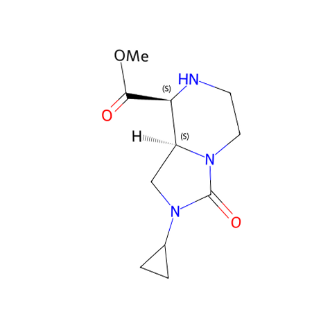 COC(=O)[C@H]1NCCN2C(=O)N(C3CC3)C[C@@H]12